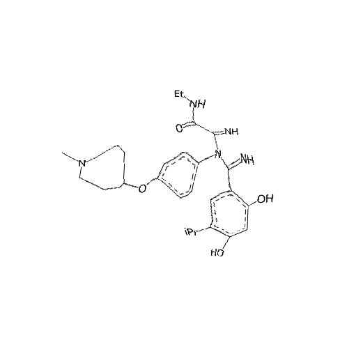 CCNC(=O)C(=N)N(C(=N)c1cc(C(C)C)c(O)cc1O)c1ccc(OC2CCN(C)CC2)cc1